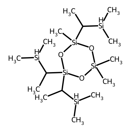 CC([SiH](C)C)[Si]1(C)O[Si](C)(C)O[Si](C(C)[SiH](C)C)(C(C)[SiH](C)C)O1